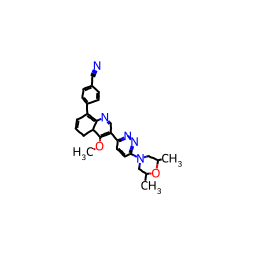 COC1=C(c2ccc(N3CC(C)OC(C)C3)nn2)C=NC2=C(c3ccc(C#N)cc3)C=CCC21